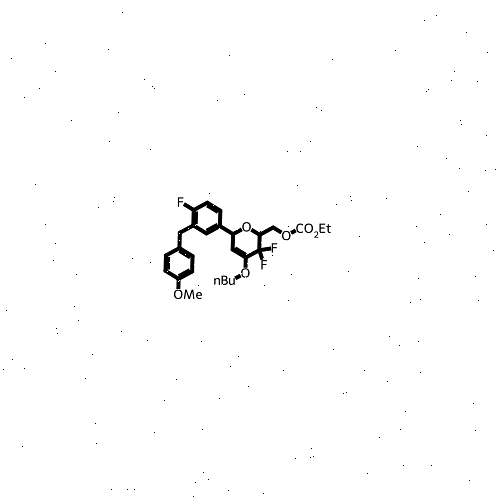 CCCCOC1=CC(c2ccc(F)c(Cc3ccc(OC)cc3)c2)OC(COC(=O)OCC)C1(F)F